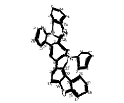 c1ccc(-n2c3cc4c(cc3c3ccc5oc6ccccc6c5c32)c2cccnc2n2c3ccccc3nc42)cc1